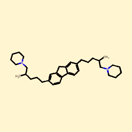 CC(CCCc1ccc2c(c1)Cc1cc(CCCC(C)CN3CCCCC3)ccc1-2)CN1CCCCC1